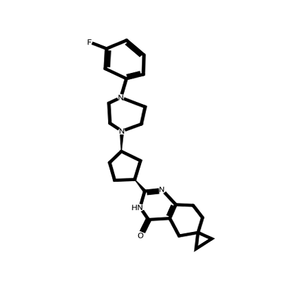 O=c1[nH]c([C@H]2CC[C@@H](N3CCN(c4cccc(F)c4)CC3)C2)nc2c1CC1(CC2)CC1